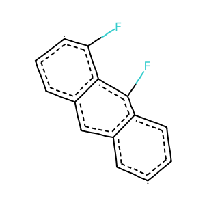 Fc1[c]ccc2cc3c[c]ccc3c(F)c12